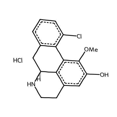 COc1c(O)cc2c3c1-c1c(Cl)cccc1C[C@@H]3NCC2.Cl